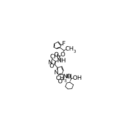 Cc1nc(-c2onc(C)c2NC(=O)OC(C)c2ccccc2F)ccc1NC(=O)[C@H]1CCCC[C@@H]1C(=O)O